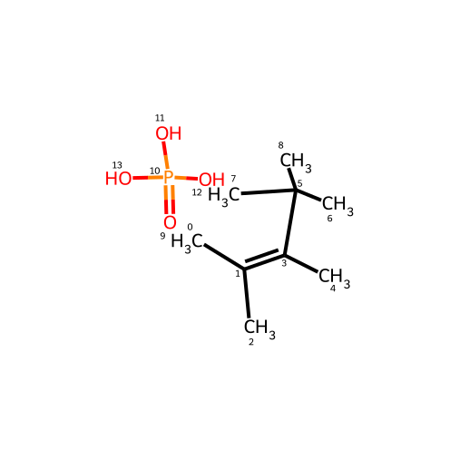 CC(C)=C(C)C(C)(C)C.O=P(O)(O)O